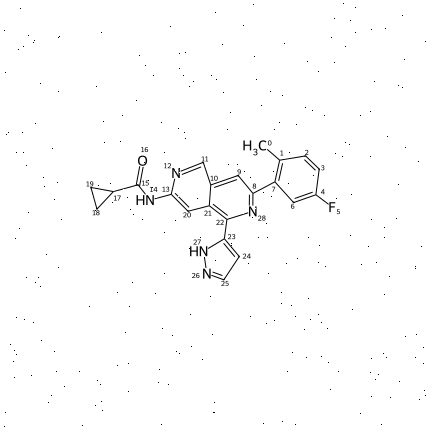 Cc1ccc(F)cc1-c1cc2cnc(NC(=O)C3CC3)cc2c(-c2ccn[nH]2)n1